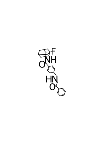 O=C(CNCc1ccc(C(=O)NC23CC4CC(CC(F)(C4)C2)C3)cc1)c1ccccc1